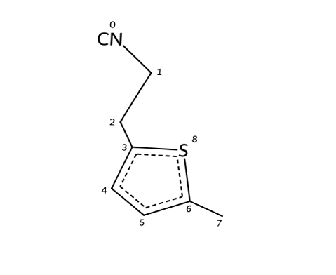 [C-]#[N+]CCc1ccc(C)s1